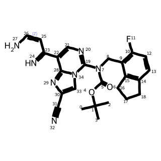 CC(C)(C)OC(=O)N(Cc1c(F)ccc2c1CCC2)c1ncc(C(=N)/C=C\N)c2nc(C#N)cn12